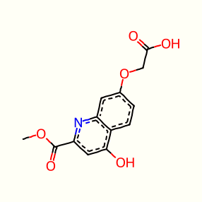 COC(=O)c1cc(O)c2ccc(OCC(=O)O)cc2n1